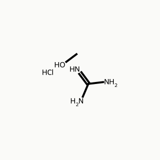 CO.Cl.N=C(N)N